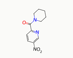 O=C(c1ccc([N+](=O)[O-])cn1)N1CCCCC1